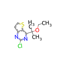 CCOC(C)(C)c1nc(Cl)nc2ccsc12